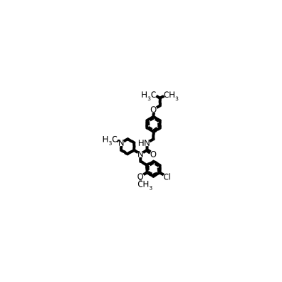 COc1cc(Cl)ccc1CN(C(=O)NCc1ccc(OCC(C)C)cc1)C1CCN(C)CC1